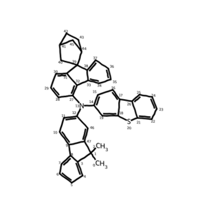 CC1(C)c2ccccc2-c2ccc(N(c3ccc4c(c3)sc3ccccc34)c3cccc4c3-c3ccccc3C43CC4CCC3C4)cc21